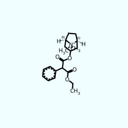 CCOC(=O)C(C(=O)OC1C[C@H]2CC[C@@H](C1)[N+]2(C)C)c1ccccc1